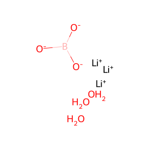 O.O.O.[Li+].[Li+].[Li+].[O-]B([O-])[O-]